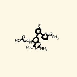 COc1cccc(-c2cc(F)ccc2C2CC(=NOCC(=O)O)c3c(C)nc(N)nc3C2)n1